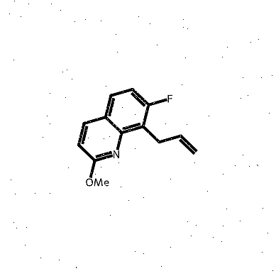 C=CCc1c(F)ccc2ccc(OC)nc12